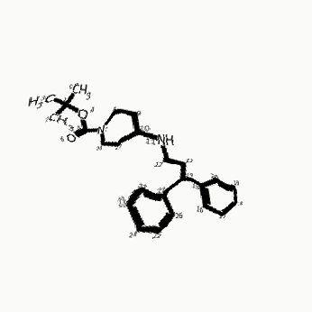 CC(C)(C)OC(=O)N1CCC(NCCC(c2ccccc2)c2ccccc2)CC1